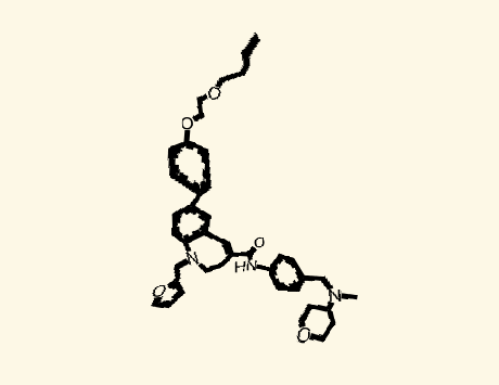 CCCCOCCOc1ccc(-c2ccc3c(c2)C=C(C(=O)Nc2ccc(CN(C)C4CCOCC4)cc2)CCN3Cc2ccco2)cc1